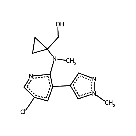 CN(c1ncc(Cl)cc1-c1cnn(C)c1)C1(CO)CC1